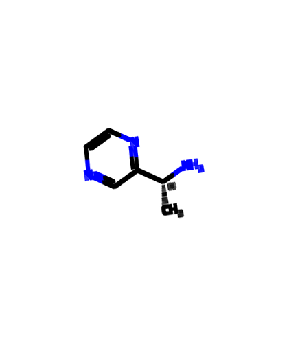 C[C@@H](N)c1cnccn1